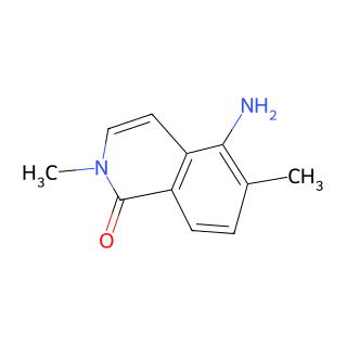 Cc1ccc2c(=O)n(C)ccc2c1N